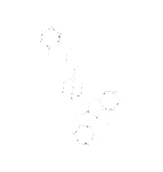 O=C(OC1C[N+]2(CCOc3ccccc3F)CCC1CC2)C(O)(c1ccccc1)c1ccccc1